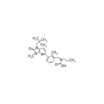 CCCN(Cc1cccc(-c2ccc3c(n2)n(C)c(=O)n3CC(C)(C)C)c1C)C(=O)O